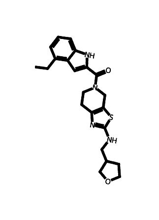 CCc1cccc2[nH]c(C(=O)N3CCc4nc(NCC5CCOC5)sc4C3)cc12